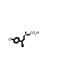 C#C/C(=C/CN(C)CC(=O)O)c1ccc(Cl)cc1